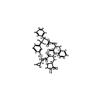 CC(C)(c1cccc(Cl)c1)C(OC(=O)NC(Cc1ccccc1)C(=O)NC(CC1CCNC1=O)C(=O)C(=O)NC1CC1)c1ccccc1